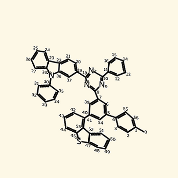 Cc1ccc(-c2cc(-c3nc(-c4ccccc4)nc(-c4ccc5c6ccccc6n(-c6ccccc6)c5c4)n3)cc(-c3cccc4sc5ccccc5c34)c2)cc1